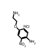 Cl.NCCOc1ccc(N)c([N+](=O)[O-])c1